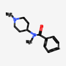 CN1CCC(N(C)C(=O)c2cc[c]cc2)CC1